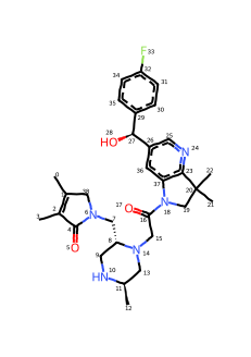 CC1=C(C)C(=O)N(C[C@H]2CN[C@H](C)CN2CC(=O)N2CC(C)(C)c3ncc([C@@H](O)c4ccc(F)cc4)cc32)C1